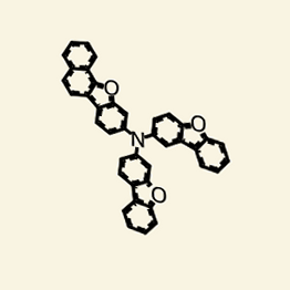 c1ccc2c(c1)ccc1c3ccc(N(c4ccc5c(c4)oc4ccccc45)c4ccc5oc6ccccc6c5c4)cc3oc21